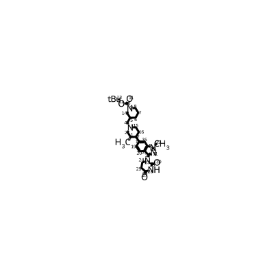 CC1CN(CC2CCCN(C(=O)OC(C)(C)C)C2)CCC1c1ccc2c(N3CCC(=O)NC3=O)nn(C)c2c1